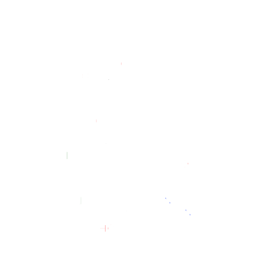 CCOCn1nccc1C(O)c1ccc(OCC(=O)OCC)c(Cl)c1Cl